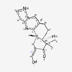 CC1(C)C(=O)/C(=C\O)C[C@]2(C)c3nc4ccnn4cc3CC[C@@H]12